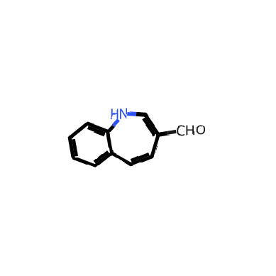 O=CC1=CNc2ccccc2C=C1